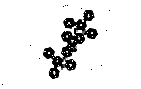 Fc1c(-c2ccccc2)cc(-c2ccccc2)cc1N(c1ccccc1)c1ccc2c(c1)sc1c3ccc(N(c4ccccc4)c4cc(-c5ccccc5)cc(-c5ccccc5)c4F)cc3c3ccccc3c21